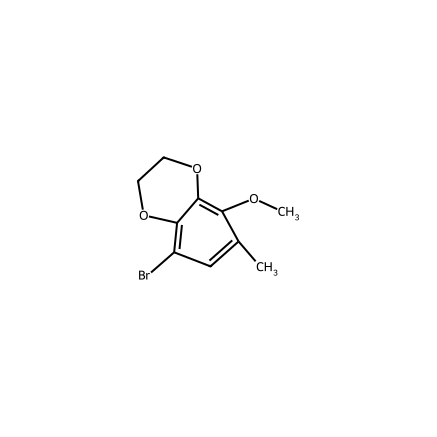 COc1c(C)cc(Br)c2c1OCCO2